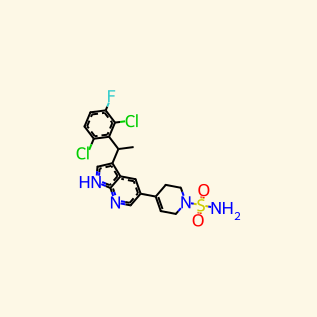 CC(c1c(Cl)ccc(F)c1Cl)c1c[nH]c2ncc(C3=CCN(S(N)(=O)=O)CC3)cc12